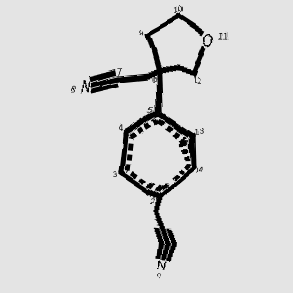 N#Cc1ccc(C2(C#N)CCOC2)cc1